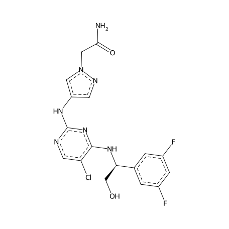 NC(=O)Cn1cc(Nc2ncc(Cl)c(N[C@H](CO)c3cc(F)cc(F)c3)n2)cn1